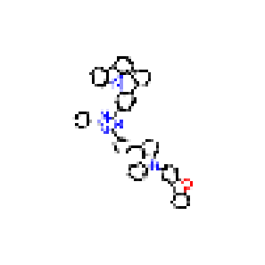 c1ccc(-c2nc(-c3cccc(-c4cccc5c4c4ccccc4n5-c4ccc5oc6ccccc6c5c4)c3)nc(-c3ccc(-c4ccccc4)c(-n4c5ccccc5c5ccccc54)c3)n2)cc1